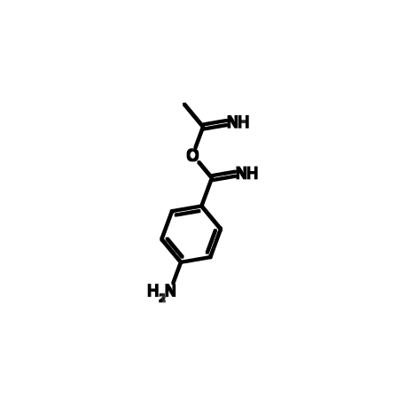 CC(=N)OC(=N)c1ccc(N)cc1